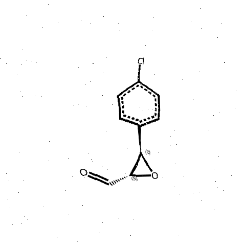 O=C[C@H]1O[C@@H]1c1ccc(Cl)cc1